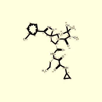 CCC[C@H](NC(=O)[C@@H]1C[C@]2(CC(c3cccc(Cl)c3)=NO2)CN1C(=O)[C@@H](C)C(C)(C)C)C(=O)C(=O)NC1CC1